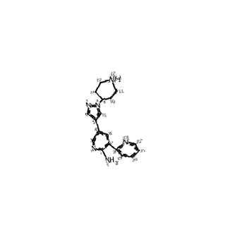 Nc1ncc(-c2cnn(C3CCNCC3)c2)cc1-c1ccccn1